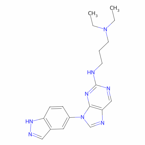 CCN(CC)CCCNc1ncc2ncn(-c3ccc4[nH]ncc4c3)c2n1